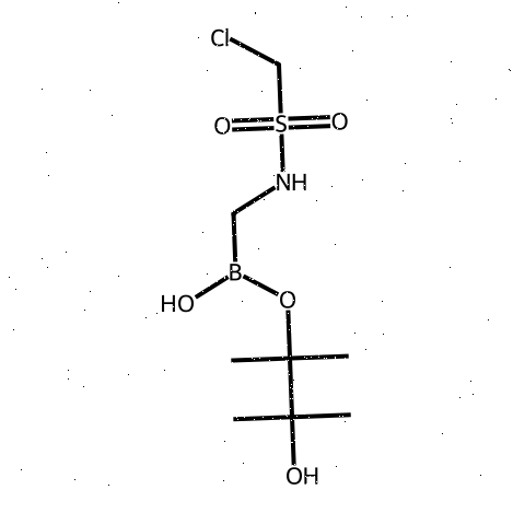 CC(C)(O)C(C)(C)OB(O)CNS(=O)(=O)CCl